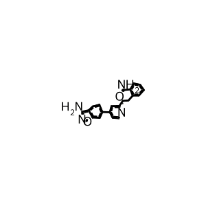 NC(=O)c1ccccc1C[CH]c1cc(-c2ccc3c(N)noc3c2)ccn1